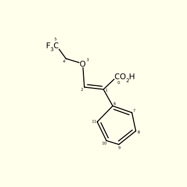 O=C(O)C(=COCC(F)(F)F)c1ccccc1